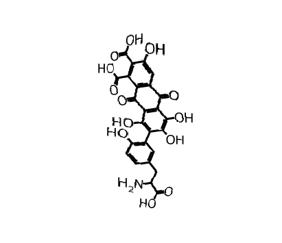 NC(Cc1ccc(O)c(-c2c(O)c(O)c3c(c2O)C(=O)c2c(cc(O)c(C(=O)O)c2C(=O)O)C3=O)c1)C(=O)O